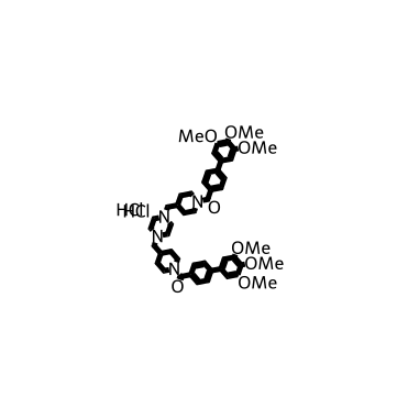 COc1cc(-c2ccc(C(=O)N3CCC(CN4CCN(CC5CCN(C(=O)c6ccc(-c7cc(OC)c(OC)c(OC)c7)cc6)CC5)CC4)CC3)cc2)cc(OC)c1OC.Cl.Cl